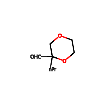 CCCC1(C=O)COCCO1